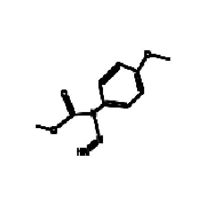 COC(=O)N(N=N)c1ccc(OC)cc1